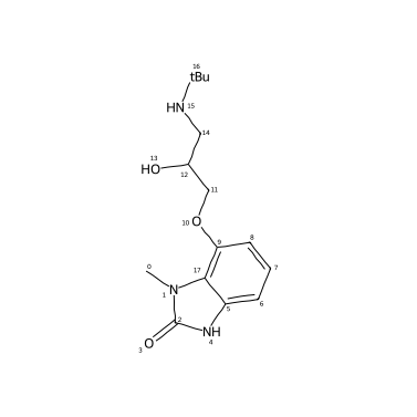 Cn1c(=O)[nH]c2cccc(OCC(O)CNC(C)(C)C)c21